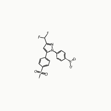 CS(=O)(=O)c1ccc(-c2cc(C(F)F)nn2-c2ccc([N+](=O)[O-])cc2)cc1